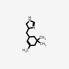 CC1=CC(CC2CNC=N2)CC(C)(C)C1